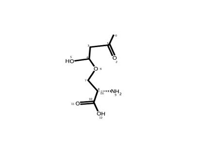 CC(=O)CC(O)OC[C@H](N)C(=O)O